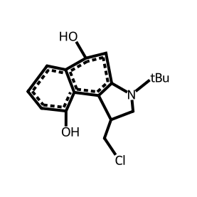 CC(C)(C)N1CC(CCl)c2c1cc(O)c1cccc(O)c21